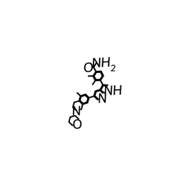 Cc1cc(-c2cnc3[nH]cc(-c4ccc(C(N)=O)c(C)c4C)c3c2)cc2c1CCN(C1CCCOC1)C2